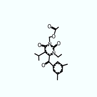 CCn1c(C(=O)c2cc(C)cc(C)c2)c(C(C)C)c(=O)n(COC(C)=O)c1=O